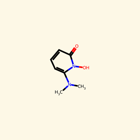 CN(C)c1cccc(=O)n1O